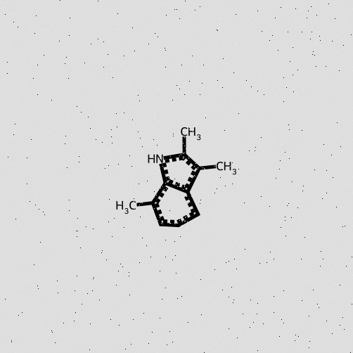 Cc1[nH]c2c(C)cccc2c1C